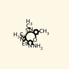 CCc1nn(C)c2c1-c1cnc(N)c(c1)OCc1cc(C)ccc1-c1nc(C)sc1C2